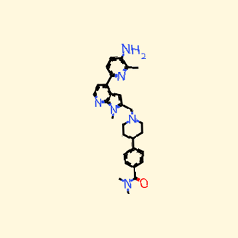 Cc1nc(-c2ccnc3c2cc(CN2CCC(c4ccc(C(=O)N(C)C)cc4)CC2)n3C)ccc1N